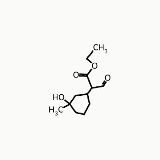 CCOC(=O)C(C=O)C1CCCC(C)(O)C1